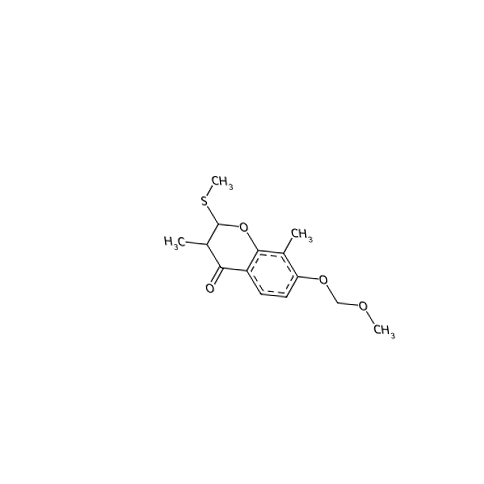 COCOc1ccc2c(c1C)OC(SC)C(C)C2=O